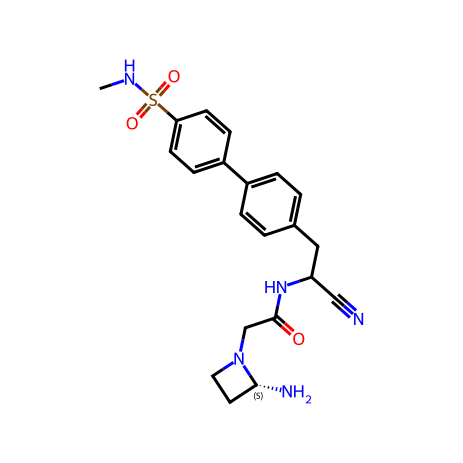 CNS(=O)(=O)c1ccc(-c2ccc(CC(C#N)NC(=O)CN3CC[C@H]3N)cc2)cc1